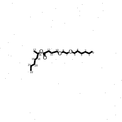 CCCCCCOCCOCCCC(=O)OC(C)CCCCC